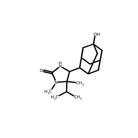 CC(C)C1(C)C(C2C3CC4CC2CC(O)(C4)C3)NC(=O)N1C